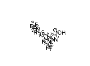 O=C(O)c1cnnc(N(Cc2ccc(-c3noc(C(F)(F)F)n3)s2)c2cncc(C(F)(F)F)n2)c1